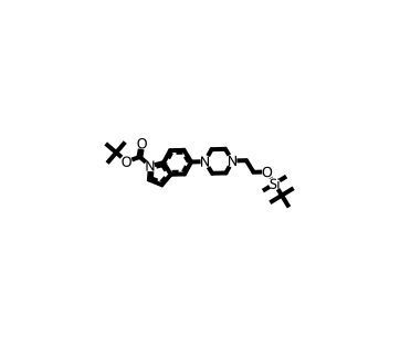 CC(C)(C)OC(=O)n1ccc2cc(N3CCN(CCO[Si](C)(C)C(C)(C)C)CC3)ccc21